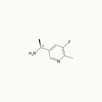 Cc1ncc([C@H](C)N)cc1F